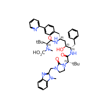 CN(C(=O)O)[C@H](C(=O)N[C@H](Cc1ccc(-c2ccccn2)cc1)C[C@H](O)[C@H](Cc1ccccc1)NC(=O)[C@@H](N1CCN(Cc2nc3ccccc3n2C)C1=O)C(C)(C)C)C(C)(C)C